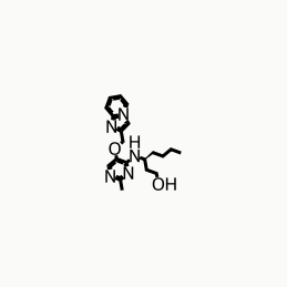 CCCC[C@@H](CCO)Nc1nc(C)ncc1OCc1cn2ccccc2n1